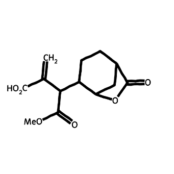 C=C(C(=O)O)C(C(=O)OC)C1CCC2CC1OC2=O